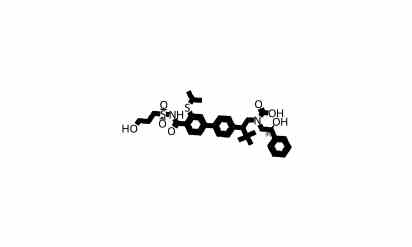 CC(C)Sc1cc(-c2ccc(C(CN(C[C@H](O)c3ccccc3)C(=O)O)C(C)(C)C)cc2)ccc1C(=O)NS(=O)(=O)CCCO